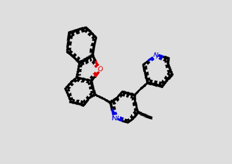 Cc1cnc(-c2cccc3c2oc2ccccc23)cc1-c1cccnc1